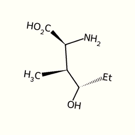 CC[C@H](O)[C@@H](C)[C@H](N)C(=O)O